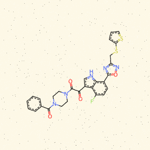 O=C(C(=O)N1CCN(C(=O)c2ccccc2)CC1)c1c[nH]c2c(-c3nc(CSc4cccs4)no3)ccc(F)c12